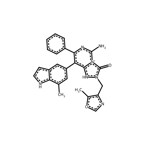 Cc1ocnc1Cn1[nH]c2c(-c3cc(C)c4[nH]ccc4c3)c(-c3ccccc3)nc(N)[n+]2c1=O